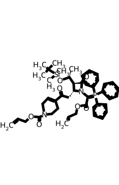 C=CCOC(=O)C(N1C(=O)[C@H]([C@@H](C)O[Si](C)(C)C(C)(C)C)[C@H]1CC(=O)C1=CCN(C(=O)OCC=C)CC1)=P(c1ccccc1)(c1ccccc1)c1ccccc1